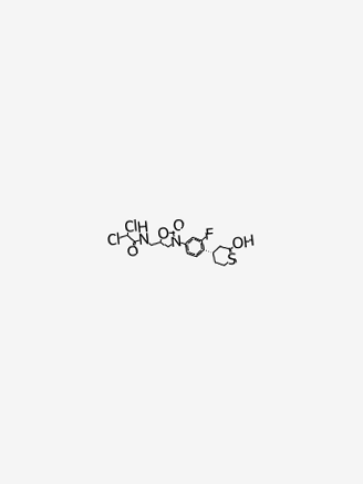 O=C(NCC1CN(c2ccc([C@H]3CCSC(O)C3)c(F)c2)C(=O)O1)C(Cl)Cl